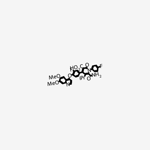 COc1cc2nccc(Oc3ccc(-c4c(C(C)C)c(C(N)=O)n(-c5ccc(F)cc5)c(=O)c4C(=O)O)cc3F)c2cc1OC